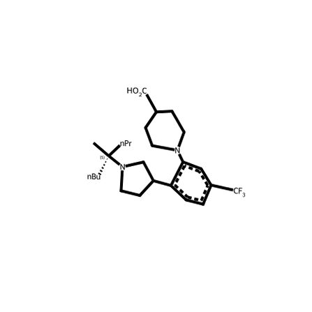 CCCC[C@](C)(CCC)N1CCC(c2ccc(C(F)(F)F)cc2N2CCC(C(=O)O)CC2)C1